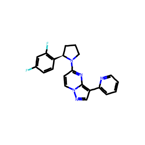 Fc1ccc([C@H]2CCCN2c2ccn3ncc(-c4ccccn4)c3n2)c(F)c1